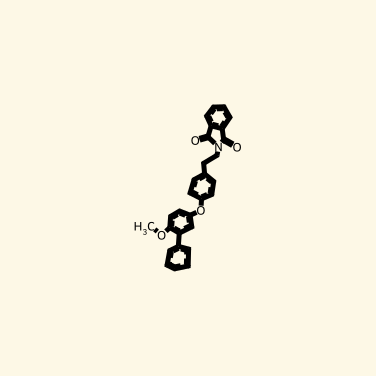 COc1ccc(Oc2ccc(CCN3C(=O)c4ccccc4C3=O)cc2)cc1-c1ccccc1